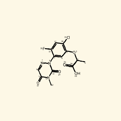 CC(Oc1cc(-n2ncc(=O)n(C)c2=O)c(F)cc1Cl)C(=O)O